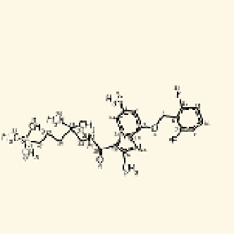 Cc1cc(OCc2c(F)cccc2F)c2nc(C)c(C(=O)NCC(C)(N)CCC[Si](C)(C)C)n2c1